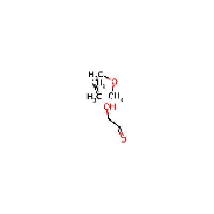 C=C.COC.O=CCO